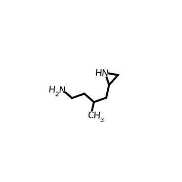 CC(CCN)CC1CN1